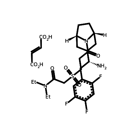 CCN(CC)C(=O)CS(=O)(=O)CCC(=O)N1[C@@H]2CC[C@H]1CC([C@H](N)Cc1cc(F)c(F)cc1F)C2.O=C(O)C=CC(=O)O